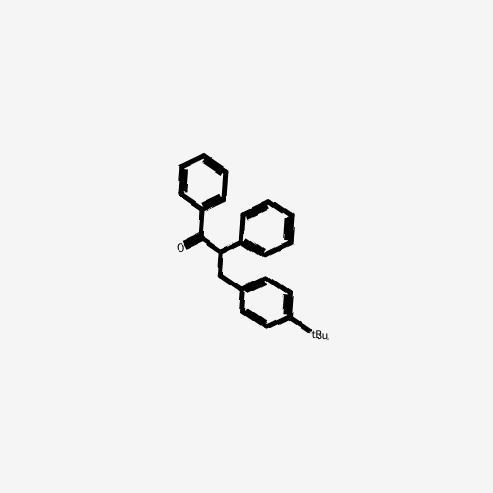 CC(C)(C)c1ccc(CC(C(=O)c2ccccc2)c2ccccc2)cc1